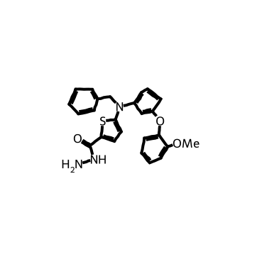 COc1ccccc1Oc1cccc(N(Cc2ccccc2)c2ccc(C(=O)NN)s2)c1